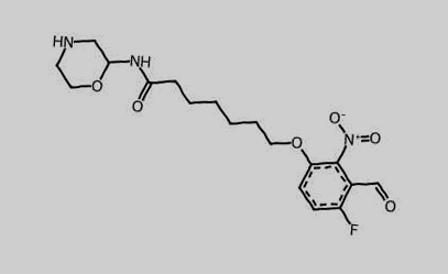 O=Cc1c(F)ccc(OCCCCCCC(=O)NC2CNCCO2)c1[N+](=O)[O-]